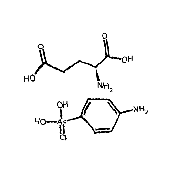 N[C@@H](CCC(=O)O)C(=O)O.Nc1ccc([As](=O)(O)O)cc1